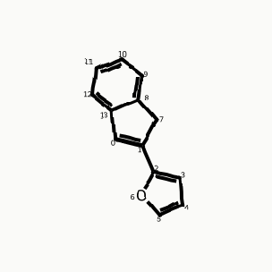 C1=C(c2ccco2)Cc2ccccc21